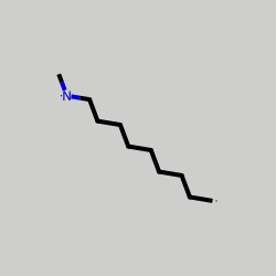 [CH2]CCCCCCCC[N]C